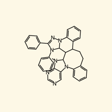 CN1c2ncncc2N2c3ccccc3CCC3c4ccccc4N4N=C(c5ccccc5)N(c5ccccc5)C4C3C12